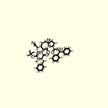 CN(C(=O)OC(C)(C)C)[C@H](Cc1ccccc1)C(=O)N[C@@H]1C(=O)N2[C@@H](CC[C@@H]1CC#N)CC[C@H]2C(=O)NC(c1ccccc1)c1ccccc1